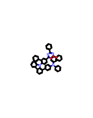 c1ccc(-c2nc(-c3ccccc3)nc(-c3ccc(-n4c5ccccc5c5cccc(-c6ccc(N(c7ccccc7)c7ccccc7)cc6)c54)c(-c4ccccc4)c3)n2)cc1